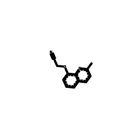 Cc1ccc2cccc(OCC#N)c2n1